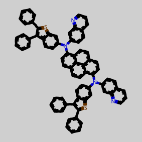 c1ccc(-c2sc3cc(N(c4ccc5cccnc5c4)c4ccc5ccc6c(N(c7ccc8cccnc8c7)c7ccc8c(-c9ccccc9)c(-c9ccccc9)sc8c7)ccc7ccc4c5c76)ccc3c2-c2ccccc2)cc1